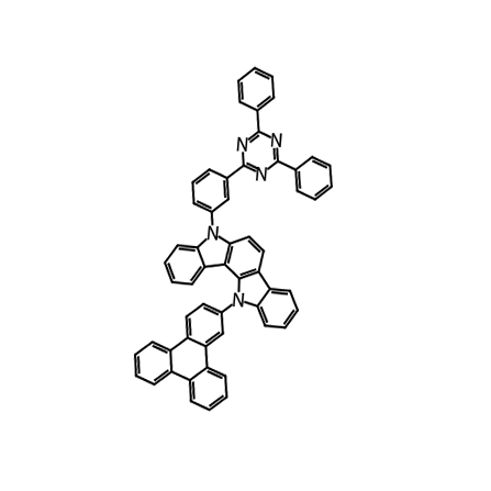 c1ccc(-c2nc(-c3ccccc3)nc(-c3cccc(-n4c5ccccc5c5c4ccc4c6ccccc6n(-c6ccc7c8ccccc8c8ccccc8c7c6)c45)c3)n2)cc1